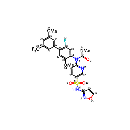 CNC(=O)N(c1ccc(S(=O)(=O)Nc2ccon2)cn1)c1cc(F)c(-c2cc(OC)cc(C(F)(F)F)c2)cc1OC